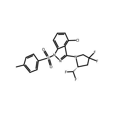 Cc1ccc(S(=O)(=O)n2nc(N3CC(F)(F)C[C@@H]3C(F)F)c3c(Cl)cccc32)cc1